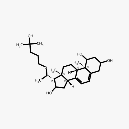 CC(SCCCC(C)(C)O)[C@H]1C(O)C[C@H]2C3=CC=C4CC(O)CC(O)[C@]4(C)[C@H]3CC[C@]12C